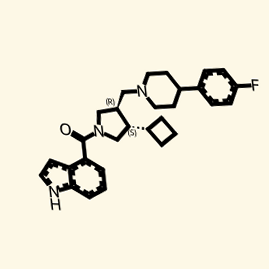 O=C(c1cccc2[nH]ccc12)N1C[C@@H](CN2CCC(c3ccc(F)cc3)CC2)[C@H](C2CCC2)C1